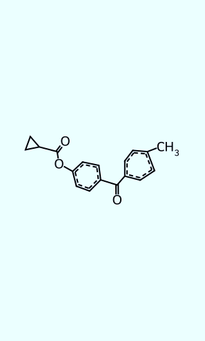 Cc1ccc(C(=O)c2ccc(OC(=O)C3CC3)cc2)cc1